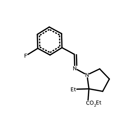 CCOC(=O)C1(CC)CCCN1N=Cc1cccc(F)c1